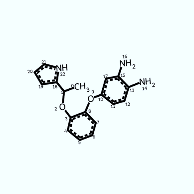 CC(Oc1ccccc1Oc1ccc(N)c(N)c1)c1ccc[nH]1